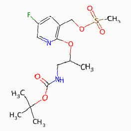 CC(CNC(=O)OC(C)(C)C)Oc1ncc(F)cc1COS(C)(=O)=O